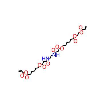 C=CC(=O)OCCOC(=O)CCCCCOC(=O)CC(=O)NCCNC(=O)CC(=O)OCCCCCC(=O)OC(=O)C=C